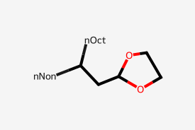 CCCCCCCCCC(CCCCCCCC)CC1OCCO1